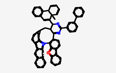 CC12C=CC=CC1c1ccccc1C=C2C1N=C(c2cccc(-c3ccccc3)c2)N=C2c3ccc4c(oc5ccccc54)c3-n3c4cc(ccc4c4cc5ccccc5cc43)CC21